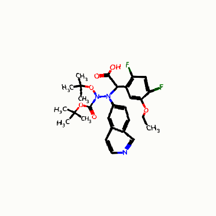 CCOc1cc(C(C(=O)O)N(c2ccc3cnccc3c2)N(OC(C)(C)C)C(=O)OC(C)(C)C)c(F)cc1F